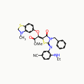 CCNc1ccc(C#N)cc1N=C1SC(=C(Oc2ccc3c(c2)N(C)CS3)C(=O)OC)C(=O)N1Cc1ccccc1